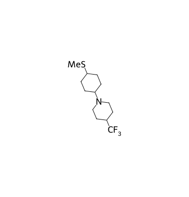 CSC1CCC(N2CCC(C(F)(F)F)CC2)CC1